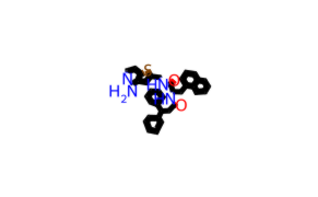 Nc1nccc2sc(CNC(=O)C(Cc3cccc4ccccc34)NC(=O)CC(c3ccccc3)c3ccccc3)cc12